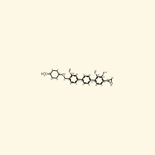 CC1CCC(OCc2ccc(-c3ccc(-c4ccc(C5CO5)c(F)c4F)cc3)cc2F)CC1